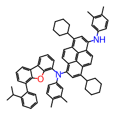 Cc1ccc(Nc2cc(C3CCCCC3)c3ccc4c(N(c5ccc(C)c(C)c5)c5cccc6c5oc5c(-c7ccccc7C(C)C)cccc56)cc(C5CCCCC5)c5ccc2c3c54)cc1C